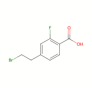 O=C(O)c1ccc(CCBr)cc1F